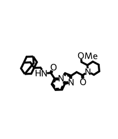 COCC1CCCCN1C(=O)Cc1cn2c(C(=O)NCC34CC5CC(CC(C5)C3)C4)cccc2n1